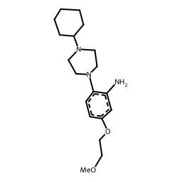 COCCOc1ccc(N2CCN(C3CCCCC3)CC2)c(N)c1